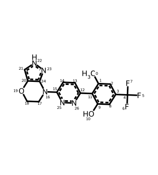 Cc1cc(C(F)(F)F)cc(O)c1-c1ccc(N2CCOc3c[nH]nc32)nn1